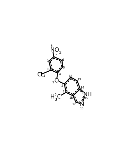 Cc1c(Oc2ccc([N+](=O)[O-])cc2Cl)ccc2[nH]ncc12